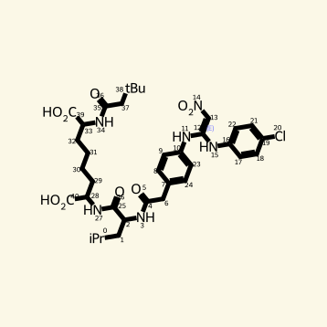 CC(C)CC(NC(=O)Cc1ccc(N/C(=C\[N+](=O)[O-])Nc2ccc(Cl)cc2)cc1)C(=O)NC(CCCCC(NC(=O)CC(C)(C)C)C(=O)O)C(=O)O